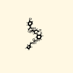 CCc1ccc(C(CC(=O)O)NC(=O)C2CC(=O)N(c3cc(NC(=O)NCc4cccs4)ccc3F)C2)cc1